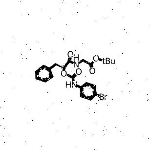 CC(C)(C)OC(=O)CNC(=O)[C@H](Cc1ccccc1)OC(=O)Nc1ccc(Br)cc1